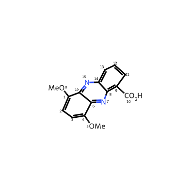 COc1ccc(OC)c2nc3c(C(=O)O)cccc3nc12